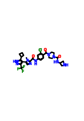 Cn1c(-c2c(C(F)(F)F)n[nH]c2C2CCC2)cnc1C(=O)Nc1ccc(C(=O)N2CCN(C(=O)NC3CNC3)CC2)c(Cl)c1